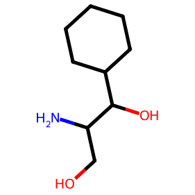 NC(CO)C(O)C1CCCCC1